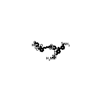 NC(=S)c1cccc(-c2cn(C3CCN(S(=O)(=O)CCCCCc4cccc5c4C(=O)N(C4CCC(=O)NC4=O)C5=O)CC3)c3cc(CNc4nnc(N)s4)ccc23)c1